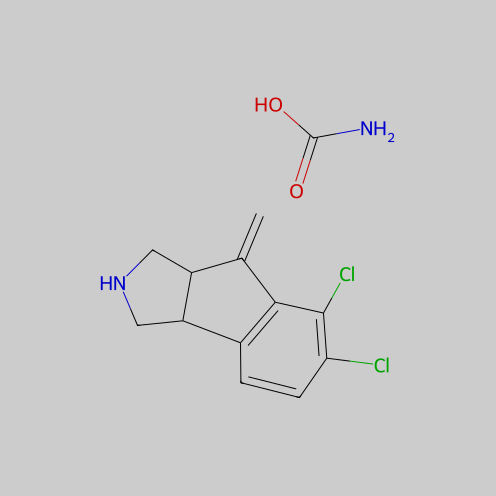 C=C1c2c(ccc(Cl)c2Cl)C2CNCC12.NC(=O)O